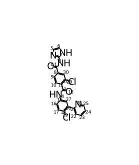 O=C(Nc1ncc[nH]1)c1ccc(C(=O)Nc2ccc(Cl)c(-c3ccccn3)c2)c(Cl)c1